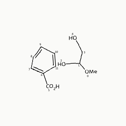 COC(O)CO.O=C(O)c1ccccc1